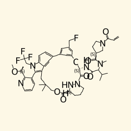 C=CC(=O)N1CC[C@H](C(=O)N(C)C(C(=O)N[C@H]2Cc3cc(CF)cc(c3)-c3ccc4c(c3)c(c(-c3cccnc3[C@H](C)OC)n4CC(F)(F)F)CC(C)(C)COC(=O)[C@@H]3CCCN(N3)C2=O)C(C)C)C1